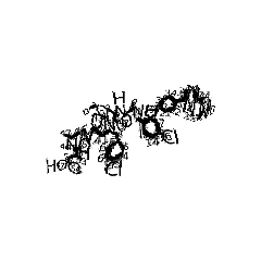 CCOCC(NC(=O)C(C)NCc1ccc(Cl)cc1Oc1ccc(-c2cnc(CN(C)C)n2C)cc1)C(=O)N(C)C(CC(=O)NCC(C)N(C)C(=O)C(C)CC(=O)O)Cc1ccc(Cl)cc1